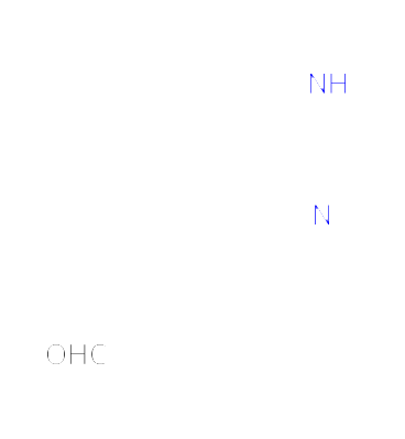 O=Cc1ccc2c(c1)N=CNC2